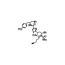 C#CCCCON(C(=O)CCCC)C(CC(OC(C)=O)c1nc(C(=O)NC(Cc2ccc(O)cc2)CC(C)C)cs1)C(C)C